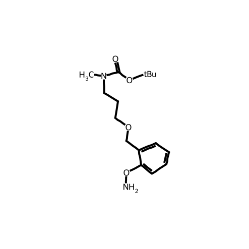 CN(CCCOCc1ccccc1ON)C(=O)OC(C)(C)C